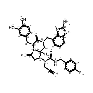 C#CCN(C(=O)NCc1ccc(F)cc1)N1CC(=O)N2[C@@H](Cc3ccc(O)c(O)c3)C(=O)N(Cc3cccc4sc(N)nc34)C[C@@H]21